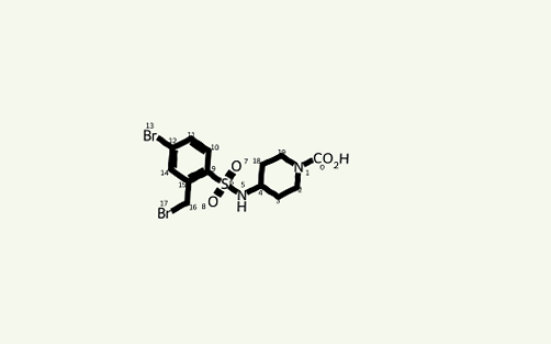 O=C(O)N1CCC(NS(=O)(=O)c2ccc(Br)cc2CBr)CC1